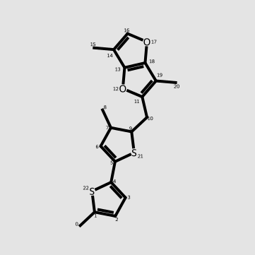 Cc1ccc(C2=CC(C)C(Cc3oc4c(C)coc4c3C)S2)s1